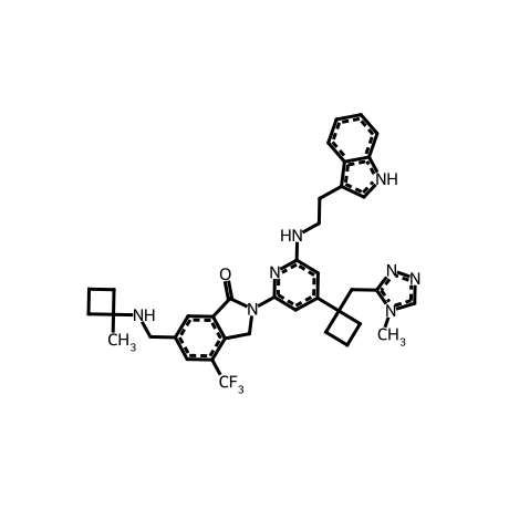 Cn1cnnc1CC1(c2cc(NCCc3c[nH]c4ccccc34)nc(N3Cc4c(cc(CNC5(C)CCC5)cc4C(F)(F)F)C3=O)c2)CCC1